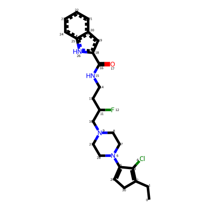 CCC1=C(Cl)C(N2CCN(CC(F)CCNC(=O)c3cc4ccccc4[nH]3)CC2)=CC1